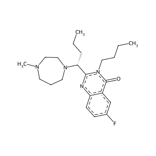 CCCCn1c([C@@H](CCC)N2CCCN(C)CC2)nc2ccc(F)cc2c1=O